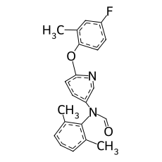 Cc1cc(F)ccc1Oc1ccc(N(C=O)c2c(C)cccc2C)cn1